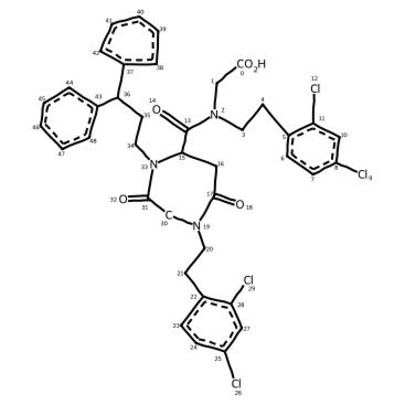 O=C(O)CN(CCc1ccc(Cl)cc1Cl)C(=O)C1CC(=O)N(CCc2ccc(Cl)cc2Cl)CC(=O)N1CCC(c1ccccc1)c1ccccc1